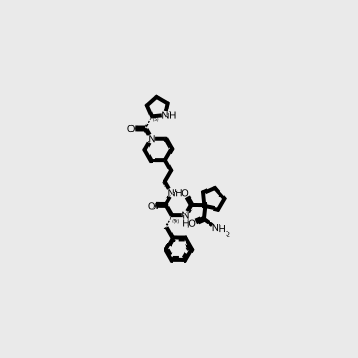 NC(=O)C1(C(=O)N[C@H](Cc2ccccc2)C(=O)NCCC2CCN(C(=O)[C@@H]3CCCN3)CC2)CCCC1